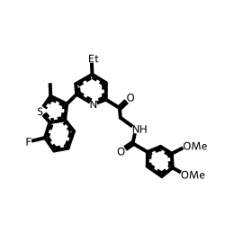 CCc1cc(C(=O)CNC(=O)c2ccc(OC)c(OC)c2)nc(-c2c(C)sc3c(F)cccc23)c1